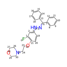 Fc1cc(NN=C(c2ccccc2)c2ccccc2)ccc1OCCN1CCOCC1